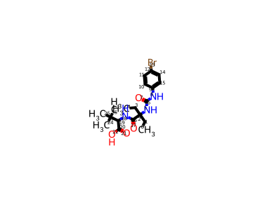 CCC(CC)(NC(=O)Nc1ccc(Br)cc1)C(=O)NC(C(=O)O)C(C)(C)C